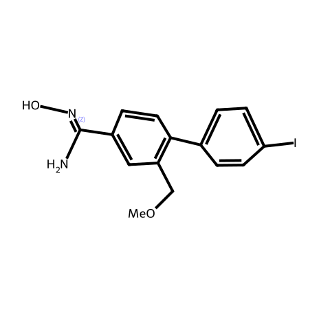 COCc1cc(/C(N)=N/O)ccc1-c1ccc(I)cc1